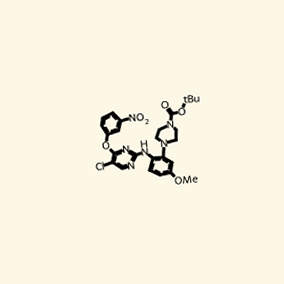 COc1ccc(Nc2ncc(Cl)c(Oc3cccc([N+](=O)[O-])c3)n2)c(N2CCN(C(=O)OC(C)(C)C)CC2)c1